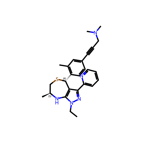 CCn1nc(-c2ccccn2)c2c1N[C@@H](C)CS[C@@H]2c1ccc(C#CCN(C)C)cc1C